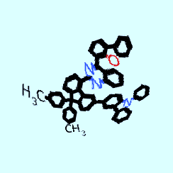 Cc1ccc(C2(c3ccc(C)cc3)c3ccc(-c4ccc5c(c4)c4ccccc4n5-c4ccccc4)cc3-c3c(-c4nc(-c5cccc6c5oc5ccccc56)c5ccccc5n4)cccc32)cc1